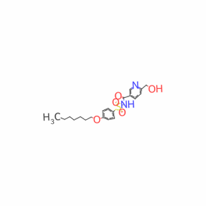 CCCCCCCOc1ccc(S(=O)(=O)NC(=O)c2ccc(CO)nc2)cc1